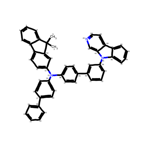 CC1(C)c2ccccc2-c2ccc(N(c3ccc(-c4ccccc4)cc3)c3ccc(-c4cccc(-n5c6ccccc6c6ccncc65)c4)cc3)cc21